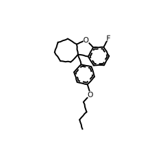 CCCCOc1ccc(C23CCCCCC2Oc2c(F)cccc23)cc1